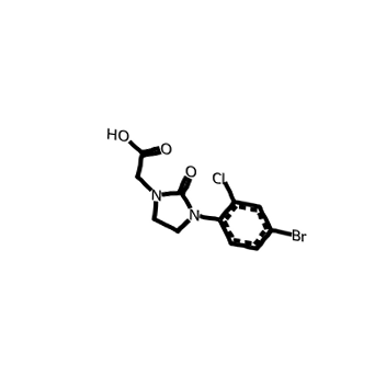 O=C(O)CN1CCN(c2ccc(Br)cc2Cl)C1=O